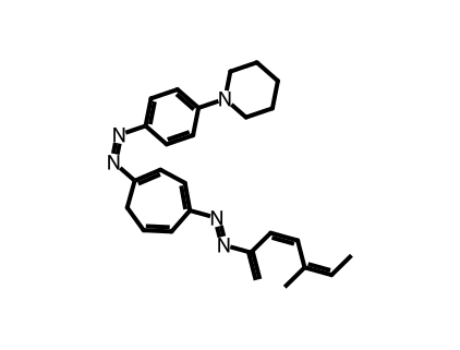 C=C(/C=C\C(C)=C/C)N=NC1=CC=C(/N=N\c2ccc(N3CCCCC3)cc2)CC=C1